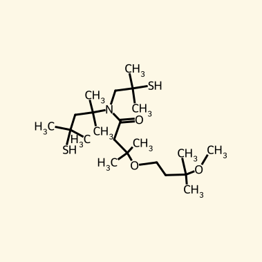 COC(C)(C)CCOC(C)(C)CC(=O)N(CC(C)(C)S)C(C)(C)CC(C)(C)S